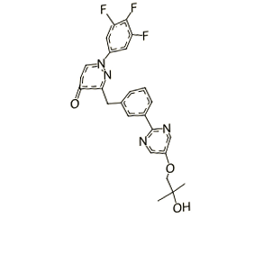 CC(C)(O)COc1cnc(-c2cccc(Cc3nn(-c4cc(F)c(F)c(F)c4)ccc3=O)c2)nc1